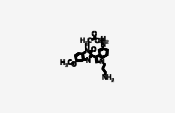 CC(=O)O.COc1ccc2[nH]c(=O)c(-c3cn(CCCN)c4ccc(N)cc34)nc2c1